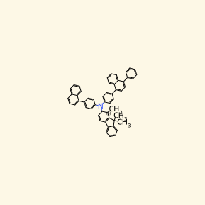 C[C@H]1C2=C(C=CC1N(c1ccc(-c3cccc4ccccc34)cc1)c1ccc(-c3ccc(-c4ccccc4)c4ccccc34)cc1)c1ccccc1C2(C)C